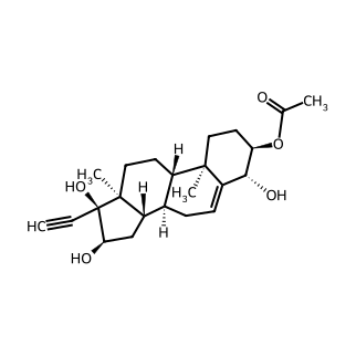 C#C[C@@]1(O)[C@H](O)C[C@H]2[C@@H]3CC=C4[C@@H](O)[C@H](OC(C)=O)CC[C@]4(C)[C@H]3CC[C@@]21C